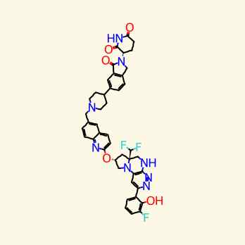 O=C1CC[C@H](N2Cc3ccc(C4CCN(Cc5ccc6nc(O[C@H]7CN8c9cc(-c%10cccc(F)c%10O)nnc9NC[C@@]8(C(F)F)C7)ccc6c5)CC4)cc3C2=O)C(=O)N1